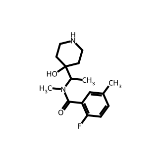 Cc1ccc(F)c(C(=O)N(C)C(C)C2(O)CCNCC2)c1